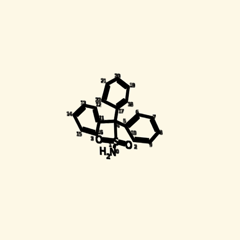 NS(=O)(=O)C(c1ccccc1)(c1ccccc1)c1ccccc1